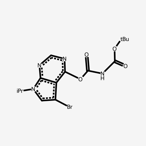 CC(C)n1cc(Br)c2c(OC(=O)NC(=O)OC(C)(C)C)ncnc21